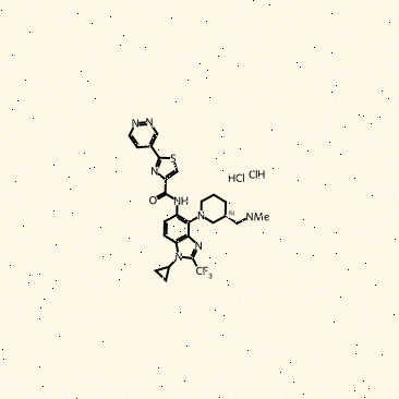 CNC[C@@H]1CCCN(c2c(NC(=O)c3csc(-c4ccnnc4)n3)ccc3c2nc(C(F)(F)F)n3C2CC2)C1.Cl.Cl